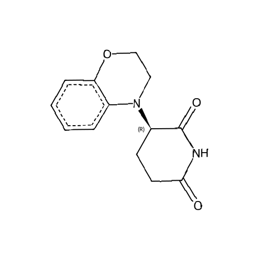 O=C1CC[C@@H](N2CCOc3ccccc32)C(=O)N1